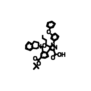 CCCCc1c(-c2ccc(C(=O)OC(C)(C)C)cc2C(=O)N2CCc3ccccc3C2)c(C(=O)O)nn1-c1cccc(Oc2ccccc2)c1